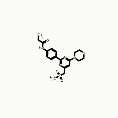 CCC(=O)Nc1ccc(-c2nc(CS(C)(=O)=O)cc(N3CCOCC3)n2)cc1